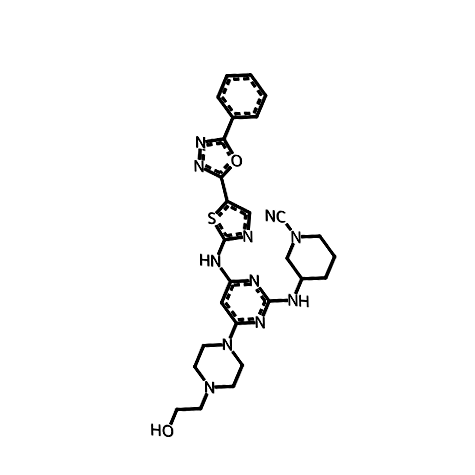 N#CN1CCCC(Nc2nc(Nc3ncc(-c4nnc(-c5ccccc5)o4)s3)cc(N3CCN(CCO)CC3)n2)C1